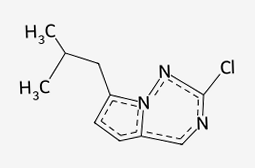 CC(C)Cc1ccc2cnc(Cl)nn12